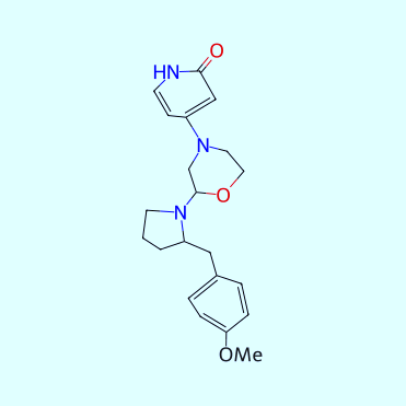 COc1ccc(CC2CCCN2C2CN(c3cc[nH]c(=O)c3)CCO2)cc1